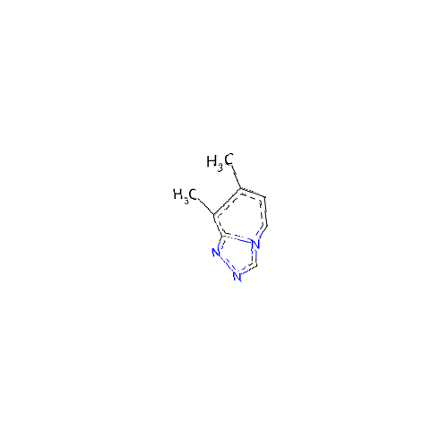 Cc1ccn2cnnc2c1C